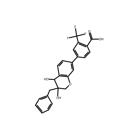 O=C(O)c1ccc(-c2ccc3c(c2)OCC(O)(Cc2ccccc2)C3O)cc1C(F)(F)F